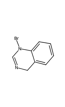 BrN1C=NCc2ccccc21